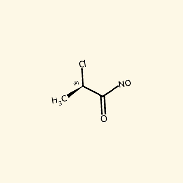 C[C@@H](Cl)C(=O)N=O